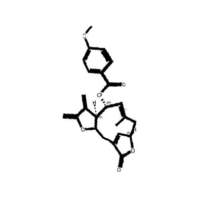 C=C1OC2CC3=C[C@@H](C/C(C)=C/[C@@H](OC(=O)c4ccc(OC)cc4)[C@@H]2C1=C)OC3=O